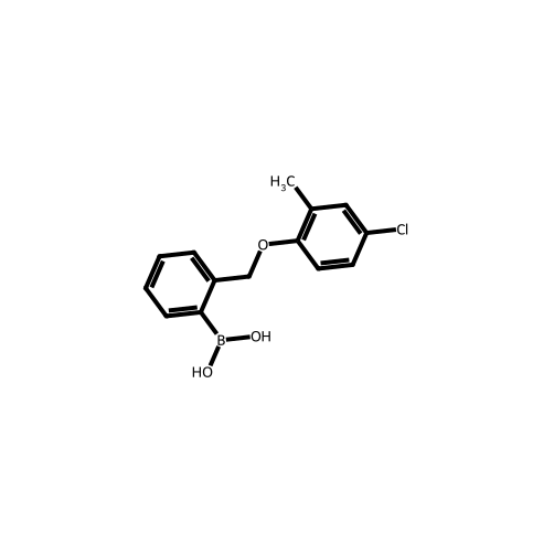 Cc1cc(Cl)ccc1OCc1ccccc1B(O)O